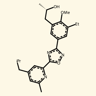 CCc1cc(-c2noc(-c3cc(CC(C)C)cc(C)n3)n2)cc(C[C@H](C)O)c1OC